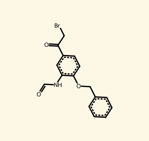 O=CNc1cc(C(=O)CBr)ccc1OCc1ccccc1